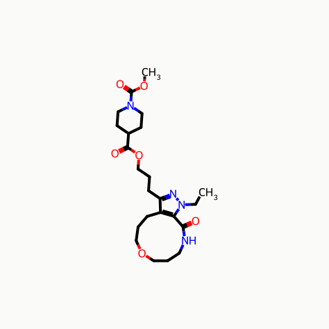 CCn1nc(CCCOC(=O)C2CCN(C(=O)OC)CC2)c2c1C(=O)NCCCOCCC2